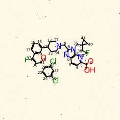 O=C(O)c1ccc2nc(CN3CCC(c4cccc5c4O[C@H](c4ccc(Cl)cc4Cl)C=C5F)CC3)n(CC3(CF)CC3)c2n1